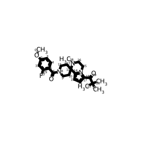 COc1ccc(C(=O)N2CCC3(CC2)c2ccc(C(=O)C(C)(C)C)n2CCN3C)c(F)c1